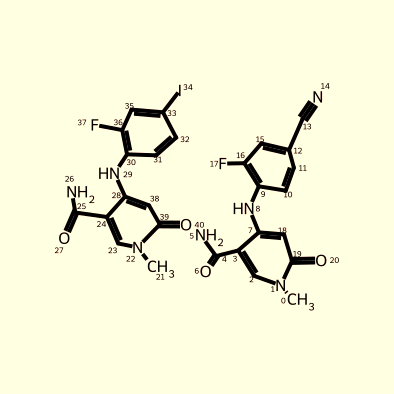 Cn1cc(C(N)=O)c(Nc2ccc(C#N)cc2F)cc1=O.Cn1cc(C(N)=O)c(Nc2ccc(I)cc2F)cc1=O